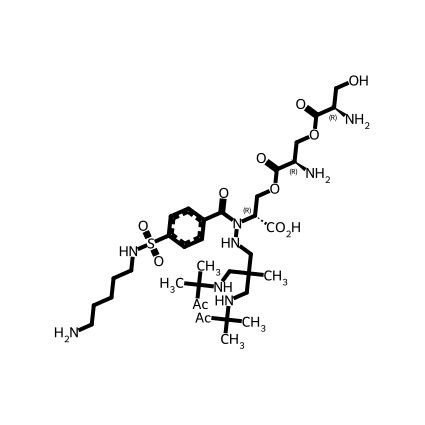 CC(=O)C(C)(C)NCC(C)(CNN(C(=O)c1ccc(S(=O)(=O)NCCCCCN)cc1)[C@H](COC(=O)[C@H](N)COC(=O)[C@H](N)CO)C(=O)O)CNC(C)(C)C(C)=O